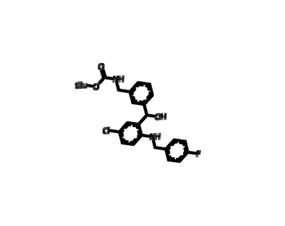 CC(C)(C)OC(=O)NCc1cccc(C(O)c2cc(Cl)ccc2NCc2ccc(F)cc2)c1